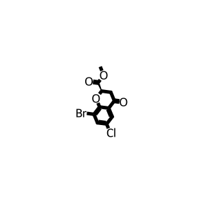 COC(=O)[C@H]1CC(=O)c2cc(Cl)cc(Br)c2O1